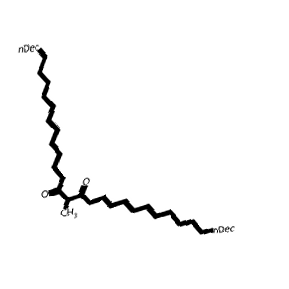 CCCCCCCCCCCCCCCCCCCCCC(=O)[C](C)C(=O)CCCCCCCCCCCCCCCCCCCCC